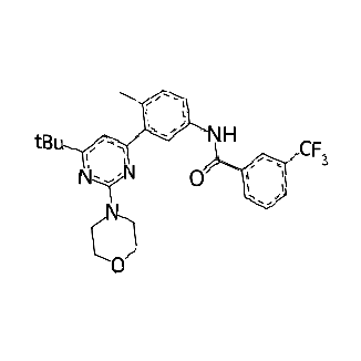 Cc1ccc(NC(=O)c2cccc(C(F)(F)F)c2)cc1-c1cc(C(C)(C)C)nc(N2CCOCC2)n1